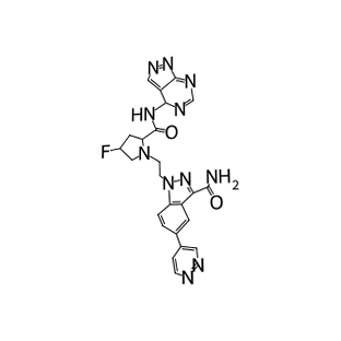 NC(=O)c1nn(CCN2CC(F)CC2C(=O)NC2N=CN=C3N=NC=C32)c2ccc(-c3ccnnc3)cc12